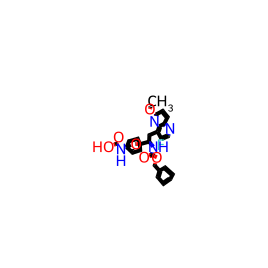 COc1ccc2ncc(F)c(CC(NC(=O)OCc3ccccc3)C34CCC(NC(=O)O)(CC3)CO4)c2n1